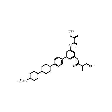 C=C(CO)C(=O)Oc1cc(OC(=O)C(=C)CO)cc(-c2ccc(C3CCC(C4CCC(CCCCC)CC4)CC3)cc2)c1